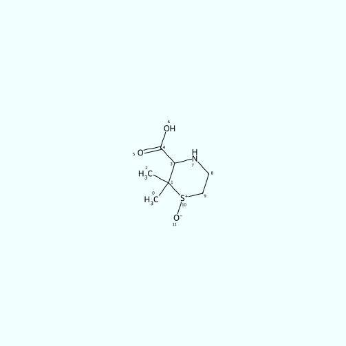 CC1(C)C(C(=O)O)NCC[S+]1[O-]